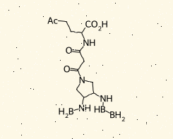 BBNC1CN(C(=O)CC(=O)NC(CCC(C)=O)C(=O)O)CC1NB